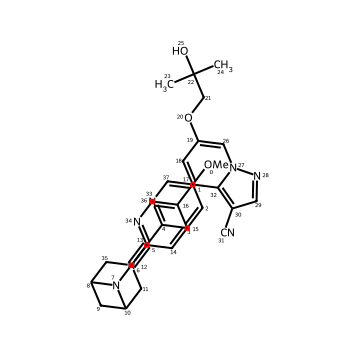 COc1ccc(C#CN2C3CC2CN(c2ccc(-c4cc(OCC(C)(C)O)cn5ncc(C#N)c45)cn2)C3)nc1